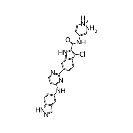 N/C=C\C(=C/N)NC(=O)c1[nH]c2cc(-c3nccc(Nc4ccc5[nH]ncc5c4)n3)ccc2c1Cl